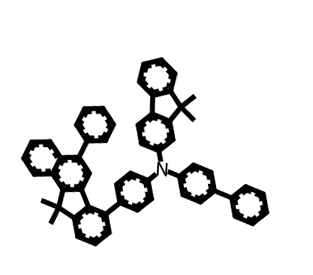 CC1(C)c2ccccc2-c2ccc(N(c3ccc(-c4ccccc4)cc3)c3ccc(-c4cccc5c4-c4cc(-c6ccccc6)c6ccccc6c4C5(C)C)cc3)cc21